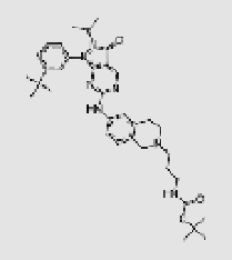 CC(C)n1c(=O)c2cnc(Nc3ccc4c(c3)CCN(CCCNC(=O)OC(C)(C)C)C4)nc2n1-c1ccnc(C(C)(C)C)c1